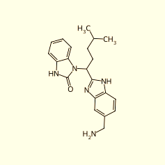 CC(C)CCC(c1nc2cc(CN)ccc2[nH]1)n1c(=O)[nH]c2ccccc21